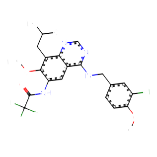 COc1ccc(CNc2ncnc3c(CC(C)C)c(OC)c(NC(=O)C(F)(F)F)cc23)cc1Cl